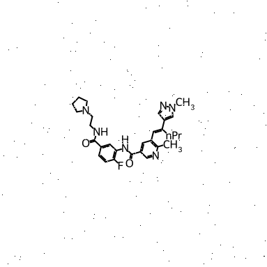 CCC/C(=C\c1cc(C(=O)Nc2cc(C(=O)NCCN3CCCC3)ccc2F)cnc1C)c1cnn(C)c1